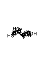 Cc1cc(Cc2cc(C)c(O)c(Cc3ccc(O)cc3)c2)cc(Cc2ccc(O)cc2)c1O